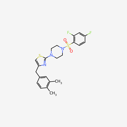 Cc1ccc(Cc2csc(N3CCN(S(=O)(=O)c4ccc(F)cc4F)CC3)n2)cc1C